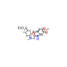 CCOC(=O)C1CCC(N(C)CC(=O)Nc2cc3c(cc2C(C)=O)OCO3)CC1